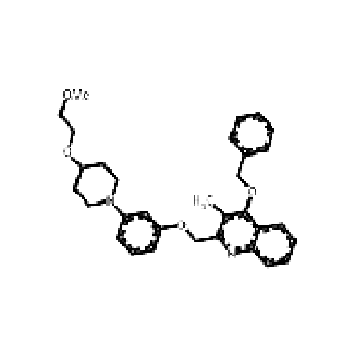 COCCOC1CCN(c2cccc(OCc3nc4ccccc4c(OCc4ccccc4)c3C)c2)CC1